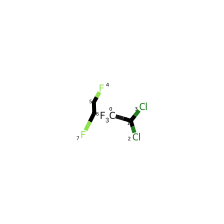 FC(F)(F)C(Cl)Cl.FCCF